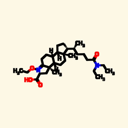 CCON=C1CC[C@H]2[C@@H]3CC[C@H]([C@H](C)CCCC(=O)N(CC)CC)[C@@]3(C)CC[C@@H]2[C@@]1(C)CCC(=O)O